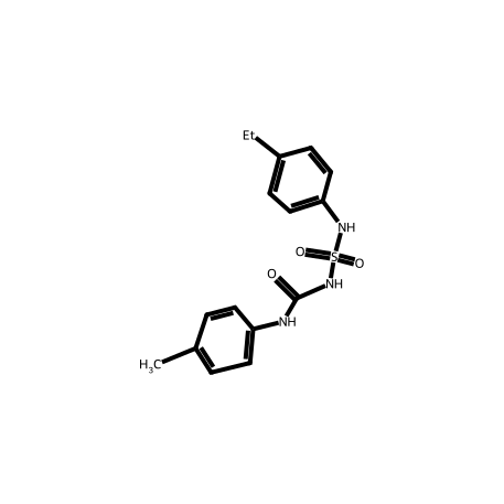 CCc1ccc(NS(=O)(=O)NC(=O)Nc2ccc(C)cc2)cc1